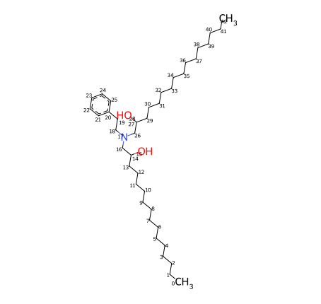 CCCCCCCCCCCCCCC(O)CN(CCc1ccccc1)CC(O)CCCCCCCCCCCCCC